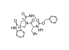 CCCN(C(=O)OCc1ccccc1)C(CC(C)C)C(=O)N1C[C@]2(C[C@H]1C(N)=O)C(=O)Nc1ccccc12